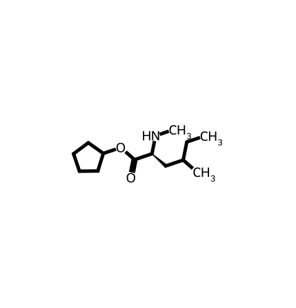 CCC(C)C[C@H](NC)C(=O)OC1CCCC1